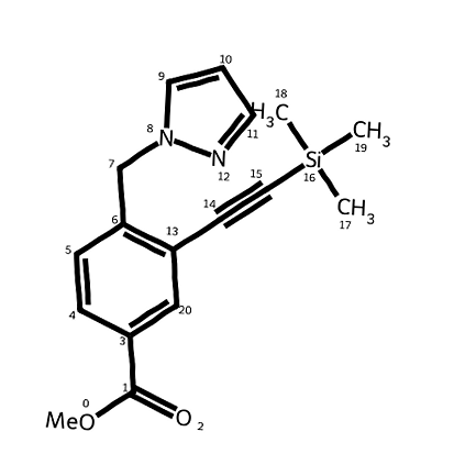 COC(=O)c1ccc(Cn2cccn2)c(C#C[Si](C)(C)C)c1